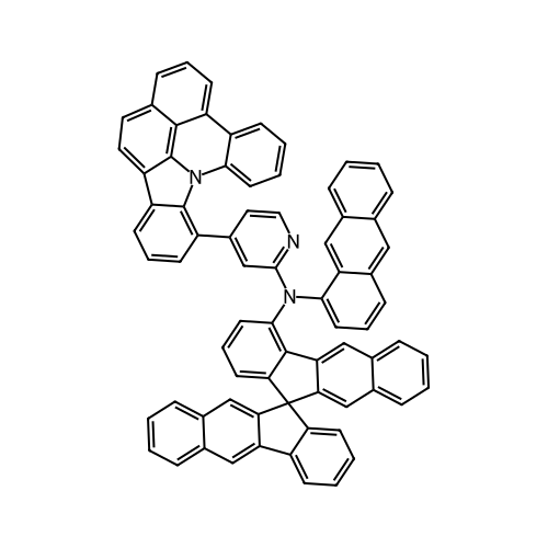 c1ccc2c(c1)-c1cc3ccccc3cc1C21c2cc3ccccc3cc2-c2c(N(c3cc(-c4cccc5c6ccc7cccc8c9ccccc9n(c45)c6c78)ccn3)c3cccc4cc5ccccc5cc34)cccc21